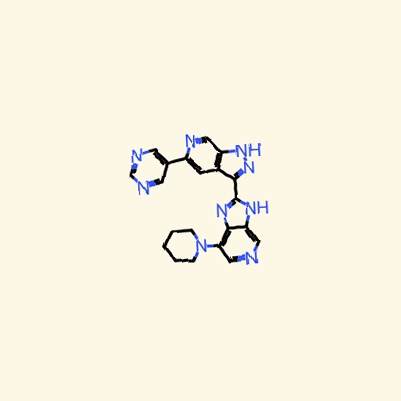 c1ncc(-c2cc3c(-c4nc5c(N6CCCCC6)cncc5[nH]4)n[nH]c3cn2)cn1